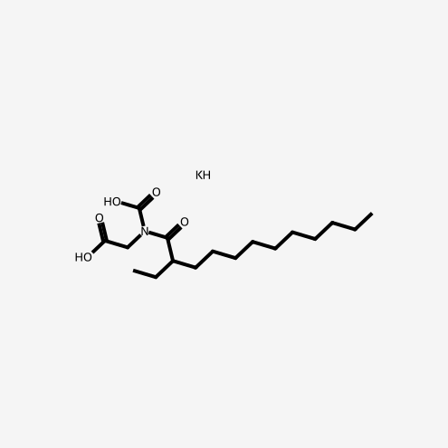 CCCCCCCCCCC(CC)C(=O)N(CC(=O)O)C(=O)O.[KH]